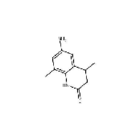 Cc1cc(N)cc2c1NC(=O)CC2C